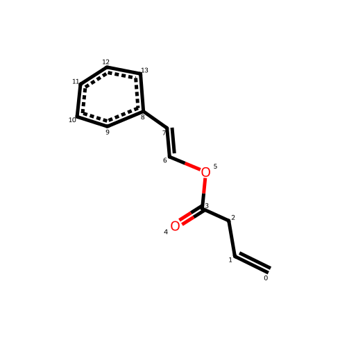 C=CCC(=O)OC=Cc1ccccc1